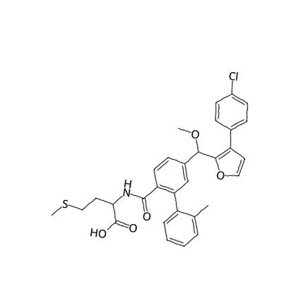 COC(c1ccc(C(=O)NC(CCSC)C(=O)O)c(-c2ccccc2C)c1)c1occc1-c1ccc(Cl)cc1